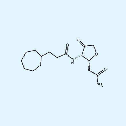 NC(=O)C[C@@H]1OCC(=O)[C@H]1NC(=O)[CH]CC1CCCCCC1